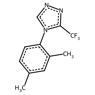 Cc1ccc(-n2cnnc2C(F)(F)F)c(C)c1